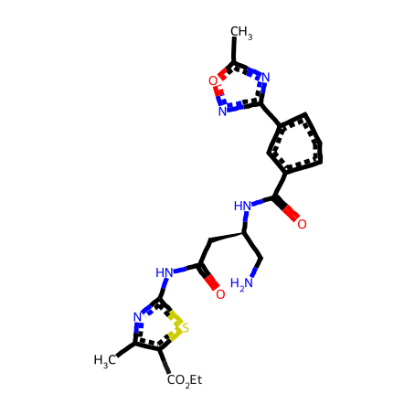 CCOC(=O)c1sc(NC(=O)C[C@H](CN)NC(=O)c2cccc(-c3noc(C)n3)c2)nc1C